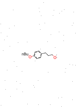 CCCCOc1ccc(CCC[O])cc1